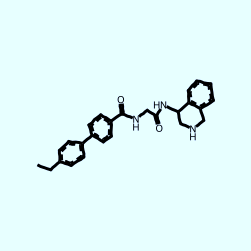 CCc1ccc(-c2ccc(C(=O)NCC(=O)NC3CNCc4ccccc43)cc2)cc1